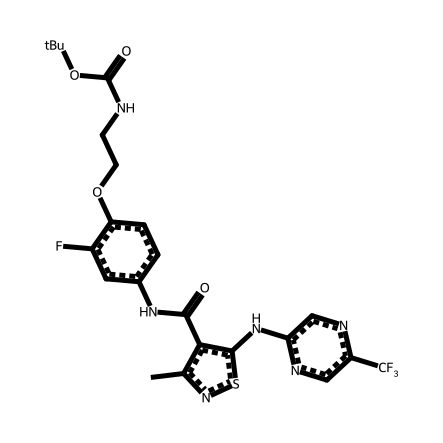 Cc1nsc(Nc2cnc(C(F)(F)F)cn2)c1C(=O)Nc1ccc(OCCNC(=O)OC(C)(C)C)c(F)c1